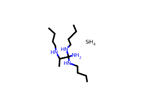 CCCCNC(C)C(N)(NCCCC)NCCCC.[SiH4]